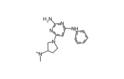 CN(C)C1CCN(c2cc(Nc3ccccc3)nc(N)n2)C1